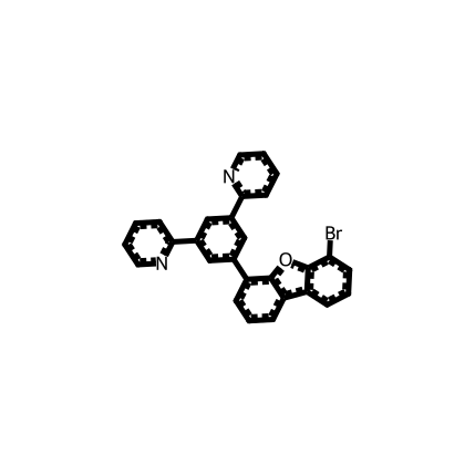 Brc1cccc2c1oc1c(-c3cc(-c4ccccn4)cc(-c4ccccn4)c3)cccc12